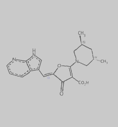 C[C@H]1C[C@H](C)CN(C2=C(C(=O)O)C(=O)/C(=C/c3c[nH]c4ncccc34)O2)C1